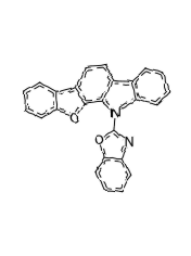 c1ccc2oc(-n3c4ccccc4c4ccc5c6ccccc6oc5c43)nc2c1